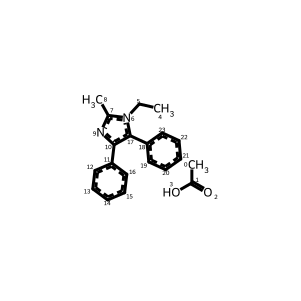 CC(=O)O.CCn1c(C)nc(-c2ccccc2)c1-c1ccccc1